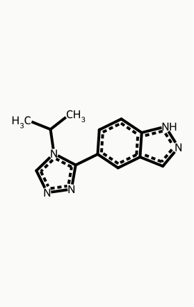 CC(C)n1cnnc1-c1ccc2[nH]ncc2c1